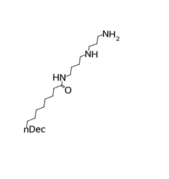 CCCCCCCCCCCCCCCCCC(=O)NCCCCNCCCN